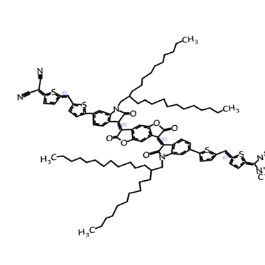 [C-]#[N+]C([N+]#[C-])=c1cc/c(=C\c2ccc(-c3ccc4c(c3)N(CC(CCCCCCCCCC)CCCCCCCCCCCC)C(=O)/C4=C3/C(=O)Oc4cc5c(cc43)OC(=O)/C5=C3/C(=O)N(CC(CCCCCCCCCC)CCCCCCCCCCCC)c4cc(-c5ccc(/C=c6\ccc(=C(C#N)C#N)s6)s5)ccc43)s2)s1